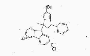 CC(C)(C)C1=CC2C(=C1)C(c1ccccc1)CC2(C)C1c2ccccc2-c2ccccc21.[Cl-].[Cl-].[Zr+2]